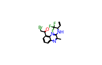 C=CC(Nc1nc2c(C(=O)CBr)cccc2nc1C)C(F)(F)F